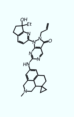 C=CCn1c(=O)c2cnc(Nc3cc4c5c(c3)CN(C)CC5C3(CC4)CC3)nc2n1-c1ccc2c(n1)C(O)(CC)CC2